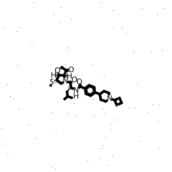 CS[C@H]1CN(C(=O)[C@H](CC(C)C)NC(=O)c2ccc(C3CCN(C4CCC4)CC3)cc2)[C@@H]2C(=O)CO[C@H]12